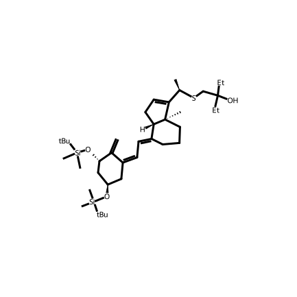 C=C1C(=CC=C2CCC[C@]3(C)C([C@@H](C)SCC(O)(CC)CC)=CC[C@@H]23)C[C@@H](O[Si](C)(C)C(C)(C)C)C[C@@H]1O[Si](C)(C)C(C)(C)C